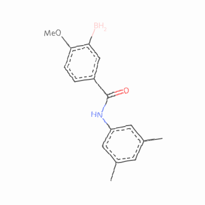 Bc1cc(C(=O)Nc2cc(C)cc(C)c2)ccc1OC